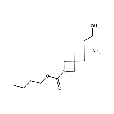 CCCCOC(=O)N1CC2(C1)CC(N)(CCO)C2